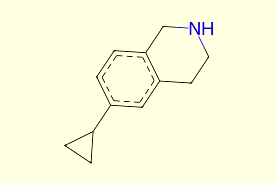 c1cc2c(cc1C1CC1)CCNC2